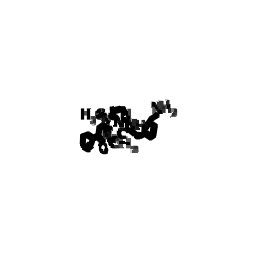 C[C@@H](Cc1cccc(CCN)c1)Nc1nccc(N(C)c2cc(-c3ccccc3)c(=O)n(C)c2)n1